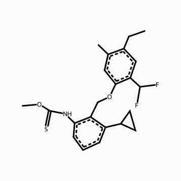 CCc1cc(C(F)F)c(OCc2c(NC(=S)OC)cccc2C2CC2)cc1C